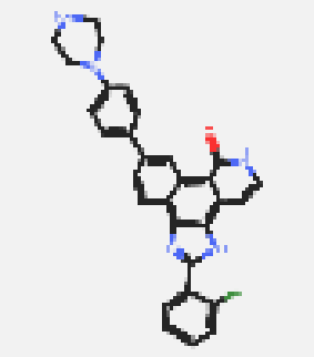 O=c1[nH]ccc2c3[nH]c(-c4ccccc4Cl)nc3c3ccc(-c4ccc(N5CCNCC5)cc4)cc3c12